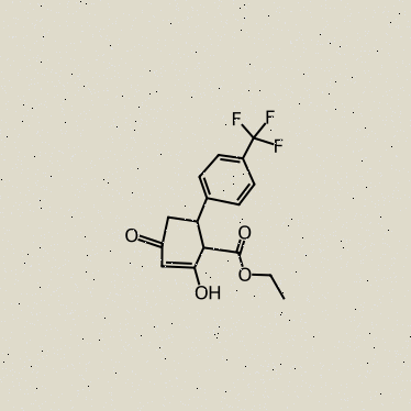 CCOC(=O)C1C(O)=CC(=O)CC1c1ccc(C(F)(F)F)cc1